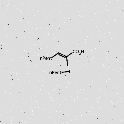 CCCCCC=C(C)C(=O)O.CCCCCI